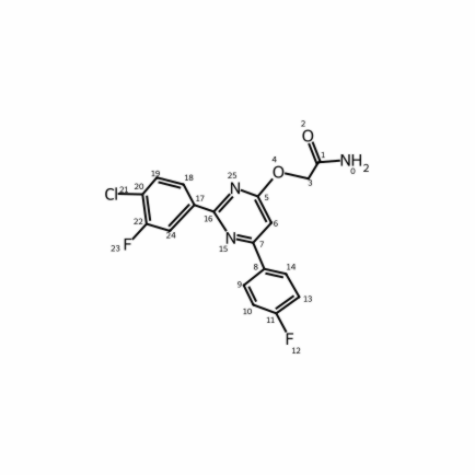 NC(=O)COc1cc(-c2ccc(F)cc2)nc(-c2ccc(Cl)c(F)c2)n1